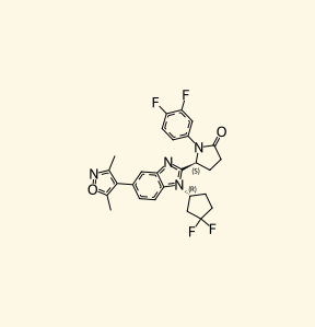 Cc1noc(C)c1-c1ccc2c(c1)nc([C@@H]1CCC(=O)N1c1ccc(F)c(F)c1)n2[C@@H]1CCC(F)(F)C1